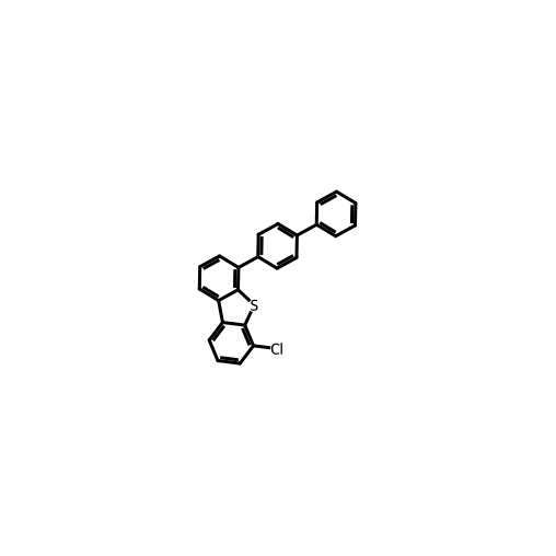 Clc1cccc2c1sc1c(-c3ccc(-c4ccccc4)cc3)cccc12